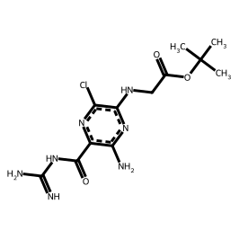 CC(C)(C)OC(=O)CNc1nc(N)c(C(=O)NC(=N)N)nc1Cl